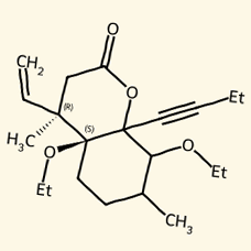 C=C[C@@]1(C)CC(=O)OC2(C#CCC)C(OCC)C(C)CC[C@@]21OCC